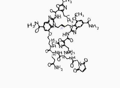 CCc1nc(C)oc1C(=O)Nc1nc2cc(C(N)=O)cc(OC)c2n1C/C=C/Cn1c(NC(=O)c2oc(C)nc2CC)nc2cc(C(N)=O)cc(OCCCNC(=O)[C@@H](CCC(N)=O)NC(=O)[C@H](N)CNC(=O)CN3C(=O)C=CC3=O)c21